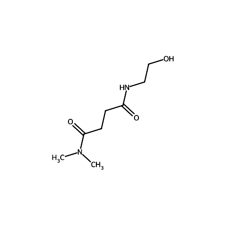 CN(C)C(=O)CCC(=O)NCCO